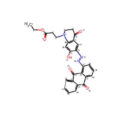 CCOC(=O)CCN1CCC(=O)c2cc(/N=N/c3cccc4c3C(=O)c3ccccc3C4=O)c(O)cc21